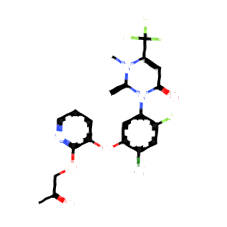 C=C1N(C)C(C(F)(F)F)=CC(=O)N1c1cc(Oc2cccnc2OCC(C)=O)c(Cl)cc1F